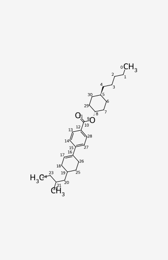 CCCCC[C@H]1CC[C@H](OC(=O)c2ccc(C3=CCC(CC(C)CC)CC3)cc2)CC1